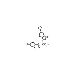 O=C(CC(C(=O)O)c1c[nH]c2cc(C3CCC3)ccc12)c1ccc(F)cc1F